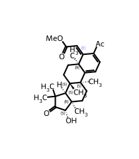 COC(=O)/C=C1/C(C(C)=O)=CC=C2[C@@]1(C)CC[C@@]1(C)[C@@H]3C(C)(C)C(=O)[C@@H](O)[C@]3(C)CC[C@]21C